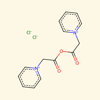 O=C(C[n+]1ccccc1)OC(=O)C[n+]1ccccc1.[Cl-].[Cl-]